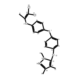 CC(Oc1ccc(Sc2ccc(Oc3c(C)c(C)nn3C)cc2)cc1)=C(Cl)Cl